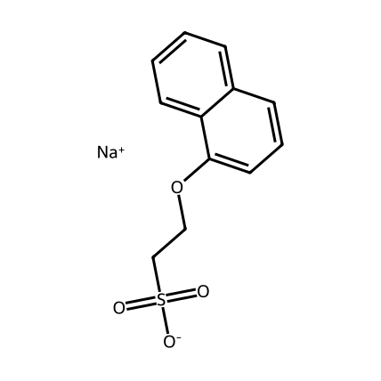 O=S(=O)([O-])CCOc1cccc2ccccc12.[Na+]